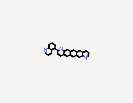 c1cnc2cc3cc4cc5ccc(-c6cccc7ncccc67)nc5cc4cc3cc2c1